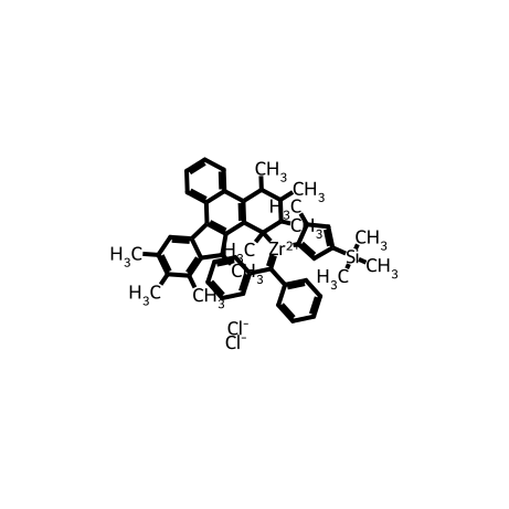 Cc1cc2c(c(C)c1C)C(C)c1c3c(c4ccccc4c1-2)C(C)C(C)C(C)[C]3(C)[Zr+2]([C]1=CC([Si](C)(C)C)=CC1C)=[C](c1ccccc1)c1ccccc1.[Cl-].[Cl-]